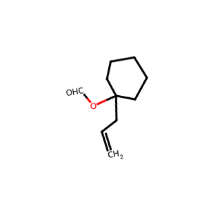 C=CCC1(OC=O)CCCCC1